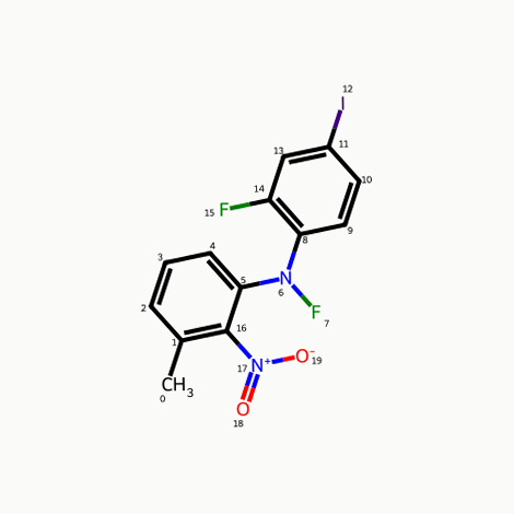 Cc1cccc(N(F)c2ccc(I)cc2F)c1[N+](=O)[O-]